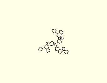 CC1(C)c2ccc(N(c3ccc4oc5c6ccccc6c(-c6ccccc6)cc5c4c3)c3ccc4ccc5c6ccccc6oc5c4c3)cc2-c2c1cc(-c1ccccc1)c1ccccc21